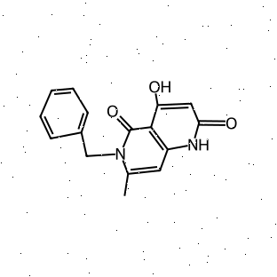 Cc1cc2[nH]c(=O)cc(O)c2c(=O)n1Cc1ccccc1